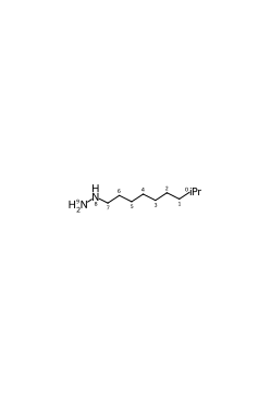 CC(C)CCCCCCCNN